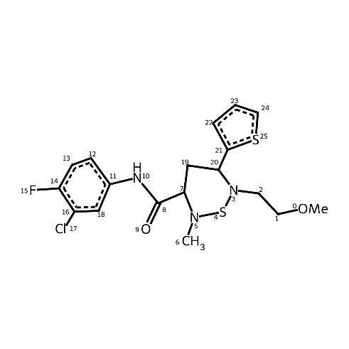 COCCN1SN(C)C(C(=O)Nc2ccc(F)c(Cl)c2)CC1c1cccs1